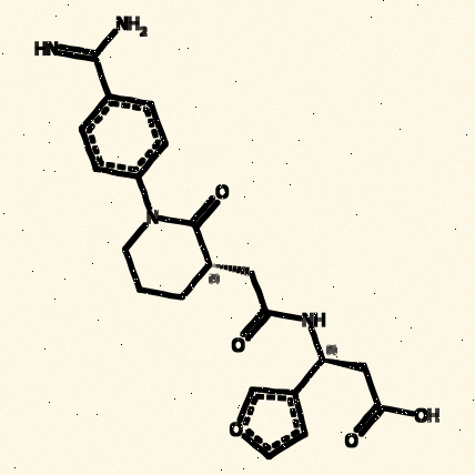 N=C(N)c1ccc(N2CCC[C@@H](CC(=O)N[C@@H](CC(=O)O)c3ccoc3)C2=O)cc1